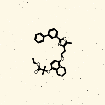 CCOC(=O)C(C)(C)Oc1ccc(OCCc2nc(-c3cccc(-c4ccccc4)c3)oc2C)c2c1CCCC2